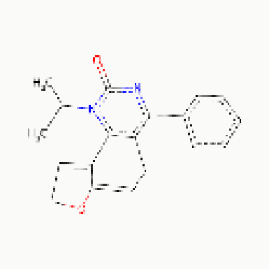 CC(C)n1c2c(c(-c3ccccc3)nc1=O)CC=C1OCC=C12